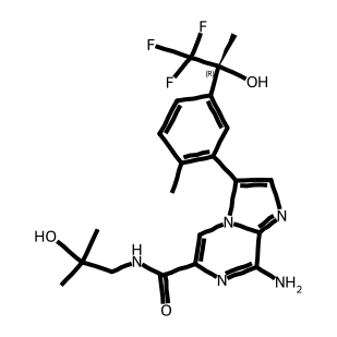 Cc1ccc([C@@](C)(O)C(F)(F)F)cc1-c1cnc2c(N)nc(C(=O)NCC(C)(C)O)cn12